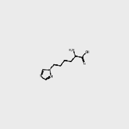 NC(CCCCn1cncn1)C(=O)O